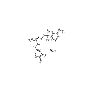 CCOc1cccc(C(C#N)(CCCN(C)CCc2ccc(Cl)c(Cl)c2)C(C)C)c1.Cl